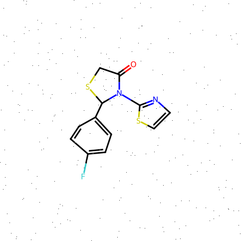 O=C1CSC(c2ccc(F)cc2)N1c1nccs1